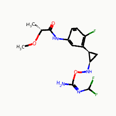 CO[C@H](C)C(=O)Nc1ccc(F)c([C@H]2C[C@H]2NO/C(N)=N\C(F)F)c1